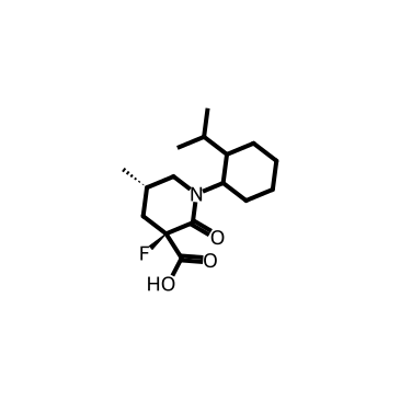 CC(C)C1CCCCC1N1C[C@@H](C)C[C@@](F)(C(=O)O)C1=O